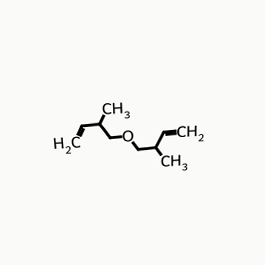 C=CC(C)COCC(C)C=C